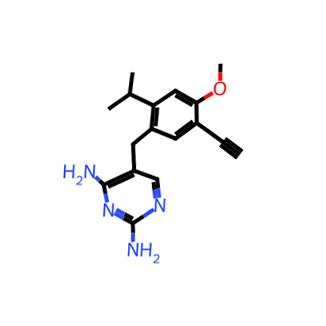 C#Cc1cc(Cc2cnc(N)nc2N)c(C(C)C)cc1OC